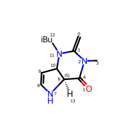 C=C1N(C)C(=O)[C@H]2NC=CC2N1C(C)CC